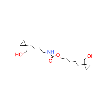 O=C(NCCCCC1(CO)CC1)OCCCCCC1(CO)CC1